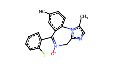 Cc1cnc2n1-c1ccc(C#N)cc1C(c1ccccc1F)=[N+]([O-])C2